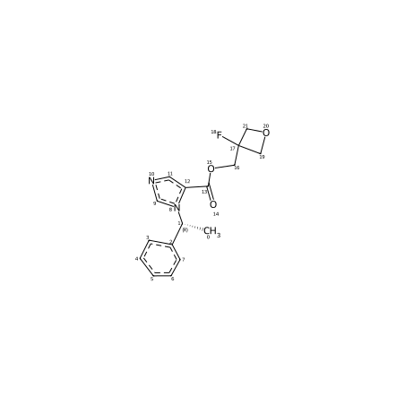 C[C@H](c1ccccc1)n1cncc1C(=O)OCC1(F)COC1